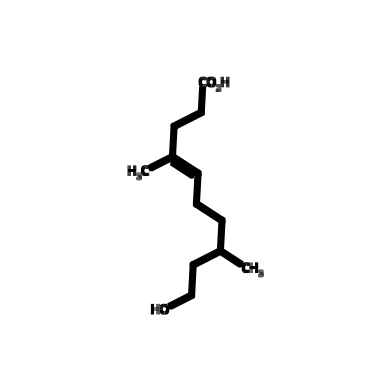 CC(=CCCC(C)CCO)CCC(=O)O